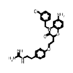 N=C(N)NCCc1ccc(OCCC2Oc3ccc(N)cc3N(Cc3cccc(Cl)c3)C2=O)cc1